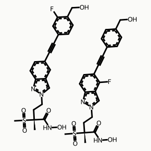 C[C@@](CCn1cc2c(F)c(C#Cc3ccc(CO)cc3)ccc2n1)(C(=O)NO)S(C)(=O)=O.C[C@@](CCn1cc2cc(C#Cc3ccc(CO)c(F)c3)ccc2n1)(C(=O)NO)S(C)(=O)=O